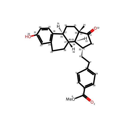 COC(=O)c1ccc(CC[C@H]2CC(=O)[C@@]3(C)CC[C@@H]4c5ccc(O)cc5CC[C@H]4[C@H]23)cc1